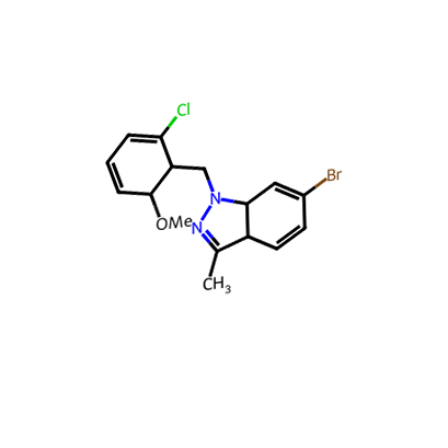 COC1C=CC=C(Cl)C1CN1N=C(C)C2C=CC(Br)=CC21